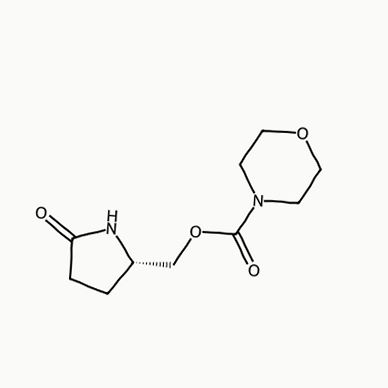 O=C1CC[C@@H](COC(=O)N2CCOCC2)N1